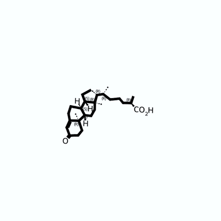 C[C@H](CCC[C@@H](C)[C@H]1CC[C@H]2[C@@H]3CCC4=CC(=O)CC[C@]4(C)[C@H]3CC[C@]12C)C(=O)O